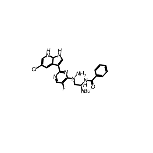 CCCC[C@@H](CN(N)c1nc(C2=CNC3NC=C(Cl)C=C23)ncc1F)NC(=O)c1ccccc1